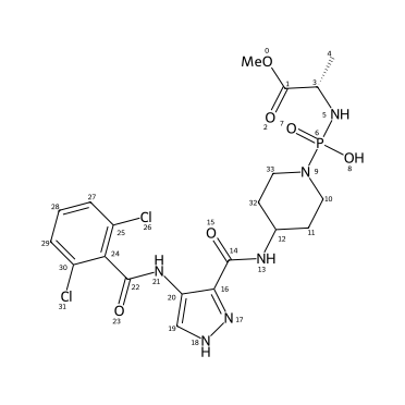 COC(=O)[C@H](C)NP(=O)(O)N1CCC(NC(=O)c2n[nH]cc2NC(=O)c2c(Cl)cccc2Cl)CC1